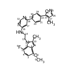 COc1ccc(F)c2c1cc(C)n2CCNc1cc(-c2ccc(-c3oncc3C)cc2)ncn1